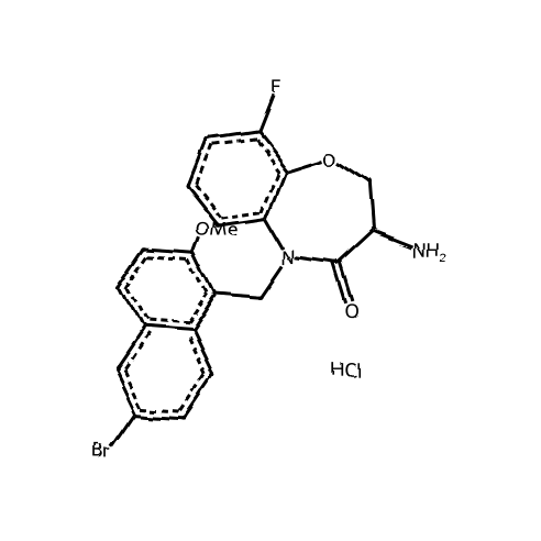 COc1ccc2cc(Br)ccc2c1CN1C(=O)C(N)COc2c(F)cccc21.Cl